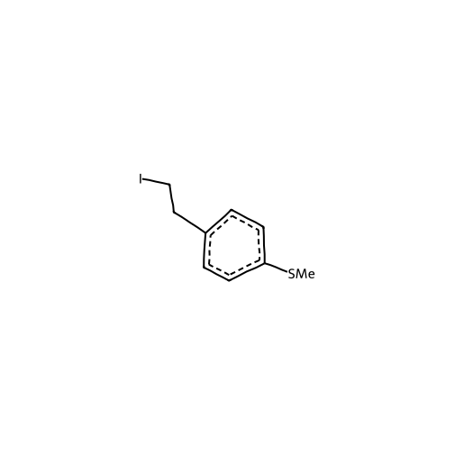 CSc1ccc(CCI)cc1